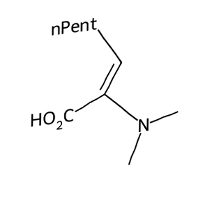 CCCCC/C=C(\C(=O)O)N(C)C